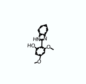 COc1cc(O)c(-c2nc3ccccc3[nH]2)c(OC)c1